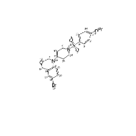 CCCc1ccc(S(=O)(=O)N2CCC(N3COCc4cc(Br)ccc43)CC2)cc1